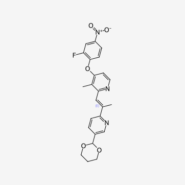 C/C(=C\c1nccc(Oc2ccc([N+](=O)[O-])cc2F)c1C)c1ccc(C2OCCCO2)cn1